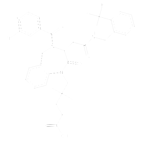 CC(C)(CCC(=O)O)CN1C(=O)C(CC(=O)NCc2ccccc2C(F)(F)F)N(C(=O)c2ccnc(Cl)c2)Cc2ccccc21